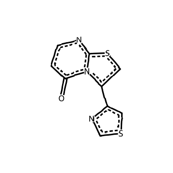 O=c1ccnc2scc(-c3cscn3)n12